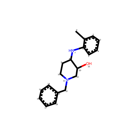 Cc1ccccc1NC1CCN(Cc2ccccc2)CC1O